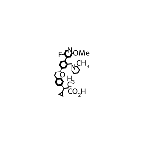 COc1cc(-c2ccc([C@@H]3CCc4ccc([C@H](C5CC5)[C@H](C)C(=O)O)cc4O3)cc2CN2CCCC[C@H]2C)c(F)cn1